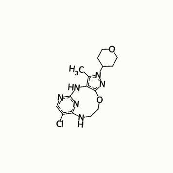 Cc1c2c(nn1C1CCOCC1)OCCNc1nc(ncc1Cl)N2